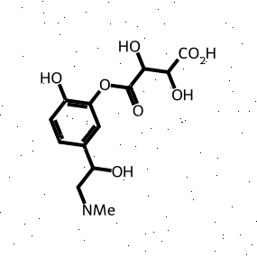 CNCC(O)c1ccc(O)c(OC(=O)C(O)C(O)C(=O)O)c1